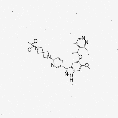 COc1cc2[nH]nc(-c3ccc(N4CC5(C4)CN(S(C)(=O)=O)C5)nc3)c2cc1O[C@@H](C)c1c(C)cnnc1C